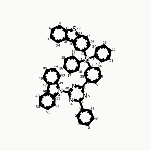 c1ccc(-c2nc(-c3cccc([Si](c4ccccc4)(c4ccccc4)c4ccc5sc6ccccc6c5c4)c3)nc(-n3c4ccccc4c4ccccc43)n2)cc1